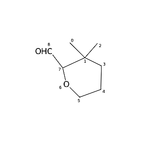 CC1(C)CCCOC1C=O